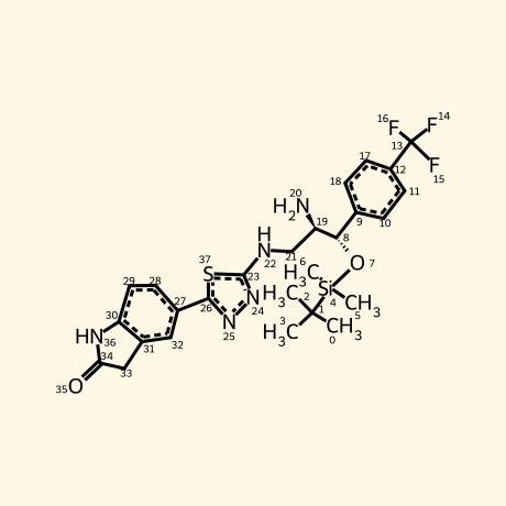 CC(C)(C)[Si](C)(C)O[C@@H](c1ccc(C(F)(F)F)cc1)[C@H](N)CNc1nnc(-c2ccc3c(c2)CC(=O)N3)s1